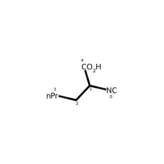 [C-]#[N+]C(CCCC)C(=O)O